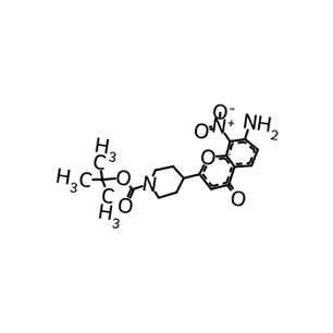 CC(C)(C)OC(=O)N1CCC(c2cc(=O)c3ccc(N)c([N+](=O)[O-])c3o2)CC1